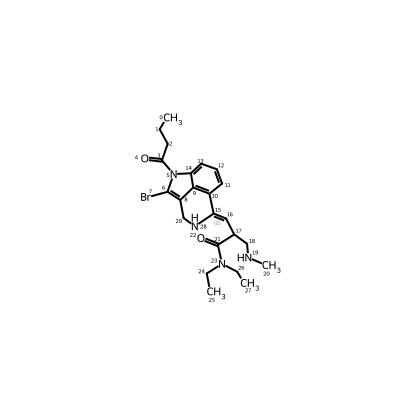 CCCC(=O)n1c(Br)c2c3c(cccc31)/C(=C/C(CNC)C(=O)N(CC)CC)NC2